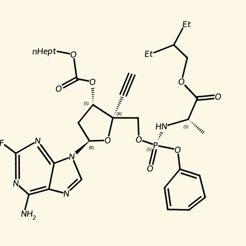 C#C[C@]1(CO[P@@](=O)(N[C@@H](C)C(=O)OCC(CC)CC)Oc2ccccc2)O[C@@H](n2cnc3c(N)nc(F)nc32)C[C@@H]1OC(=O)OCCCCCCC